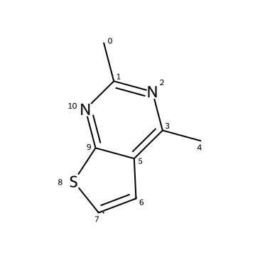 Cc1nc(C)c2c[c]sc2n1